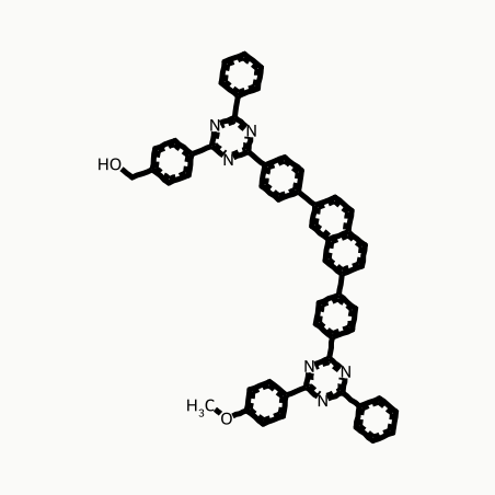 COc1ccc(-c2nc(-c3ccccc3)nc(-c3ccc(-c4ccc5ccc(-c6ccc(-c7nc(-c8ccccc8)nc(-c8ccc(CO)cc8)n7)cc6)cc5c4)cc3)n2)cc1